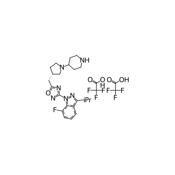 CC(C)c1nn(-c2noc(C[C@@H]3CCN(C4CCNCC4)C3)n2)c2c(F)cccc12.O=C(O)C(F)(F)F.O=C(O)C(F)(F)F